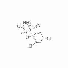 CC(C)C(C)(C#N)C(C)(Oc1ccc(Cl)cc1Cl)C(N)=O